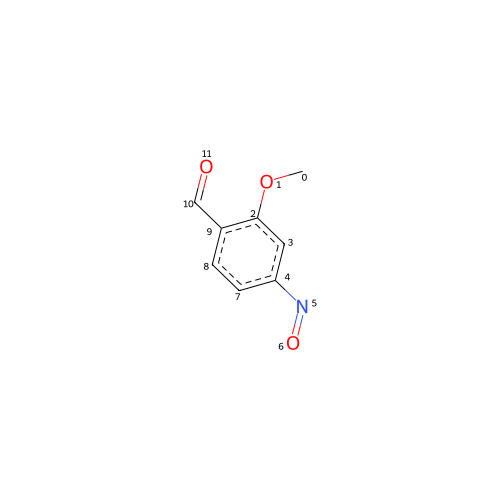 COc1cc(N=O)ccc1C=O